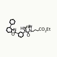 CCCNN(C(=O)NCCCC(=O)OCC)c1cccc(-c2nc3c(-c4ccccc4)cccc3o2)c1